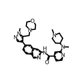 CN1CCC(N(C)c2cc(C(=O)Nc3cc4cc(-c5cnn(C)c5CN5CCOCC5)ccc4cn3)ccn2)CC1